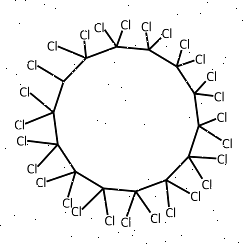 ClC1C(Cl)(Cl)C(Cl)(Cl)C(Cl)(Cl)C(Cl)(Cl)C(Cl)(Cl)C(Cl)(Cl)C(Cl)(Cl)C(Cl)(Cl)C(Cl)(Cl)C(Cl)(Cl)C(Cl)(Cl)C(Cl)(Cl)C1(Cl)Cl